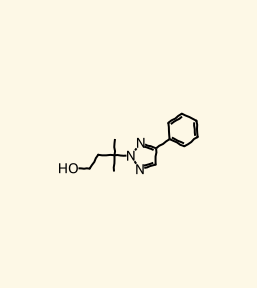 CC(C)(CCO)n1ncc(-c2ccccc2)n1